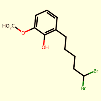 O=C(O)Oc1cccc(CCCCC(Br)Br)c1O